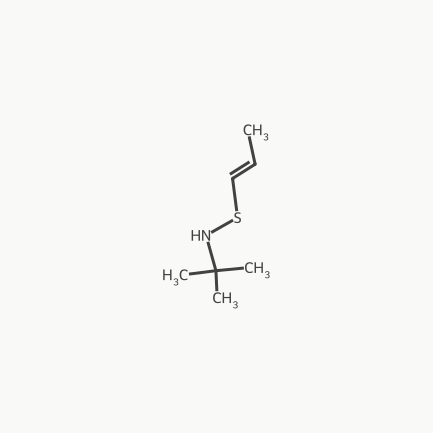 C/C=C/SNC(C)(C)C